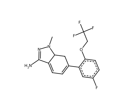 CN1N=C(N)C2=CC=C(c3cc(F)ccc3OCC(F)(F)F)CC21